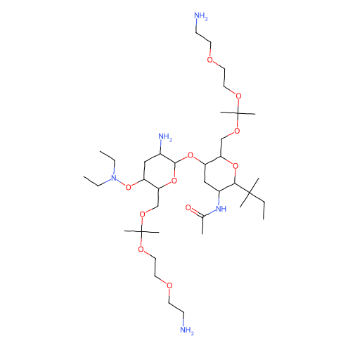 CCN(CC)OC1CC(N)C(OC2CC(NC(C)=O)C(C(C)(C)CC)OC2COC(C)(C)OCCOCCN)OC1COC(C)(C)OCCOCCN